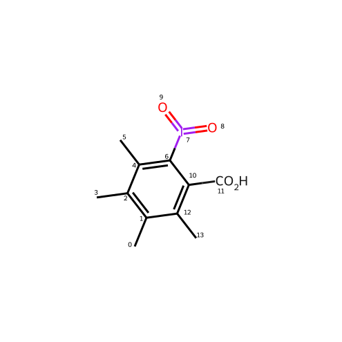 Cc1c(C)c(C)c(I(=O)=O)c(C(=O)O)c1C